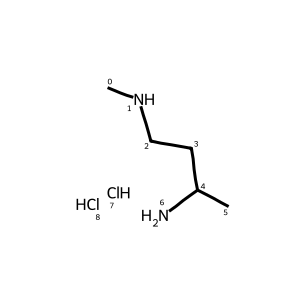 CNCCC(C)N.Cl.Cl